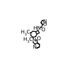 CC1CC2C(CC2NC(=O)c2ccno2)CC(C)(N2Cc3ncccc3C2=O)C1